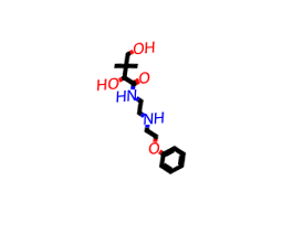 CC(C)(CO)C(O)C(=O)NCCNCCOc1ccccc1